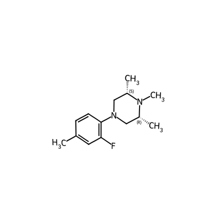 Cc1ccc(N2C[C@@H](C)N(C)[C@@H](C)C2)c(F)c1